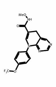 CONC(=O)C1=CN(c2ccc(OC(F)(F)F)cc2)c2ncncc2C1